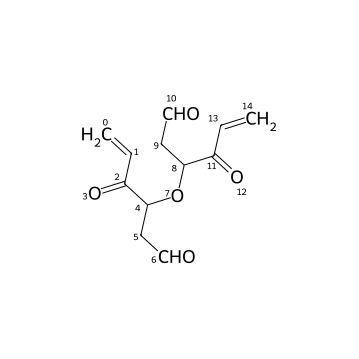 C=CC(=O)C(CC=O)OC(CC=O)C(=O)C=C